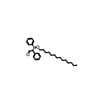 CCCCCCCCCCCCCCON(c1ccccc1)C([C]=O)c1ccccc1